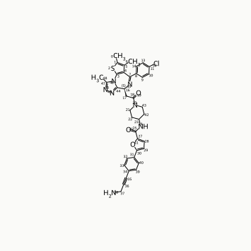 Cc1sc2c(c1C)C(c1ccc(Cl)cc1)=N[C@@H](CC(=O)N1CCC(NC(=O)c3ccc(-c4ccc(C#CCN)cc4)o3)CC1)c1nnc(C)n1-2